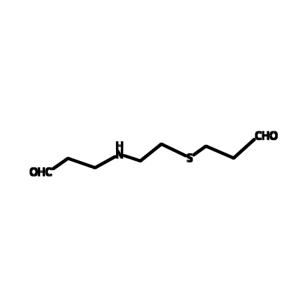 O=CCCNCCSCCC=O